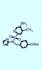 COc1ccc(CN(c2cscn2)S(=O)(=O)c2cc(C)c(N)cn2)cc1